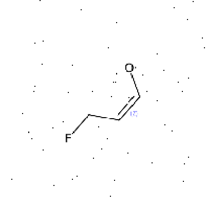 [O]/C=C\CF